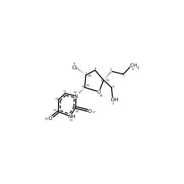 CCC[C@@]1(CO)C[C@@H](Cl)[C@@H](n2ccc(=O)[nH]c2=O)O1